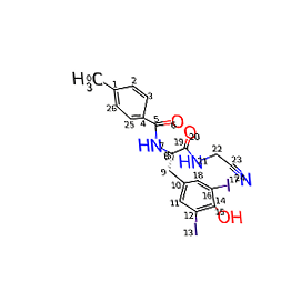 Cc1ccc(C(=O)N[C@@H](Cc2cc(I)c(O)c(I)c2)C(=O)NCC#N)cc1